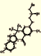 Cc1cc2c(cc1OC[C@H](O)CO)C(C)(C)c1[nH]c3cc(Cl)ccc3c1C2=O